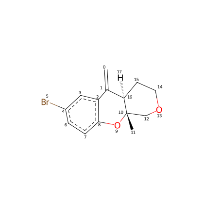 C=C1c2cc(Br)ccc2O[C@@]2(C)COCC[C@H]12